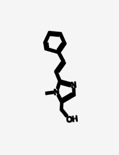 Cn1c(CO)cnc1C=Cc1ccccc1